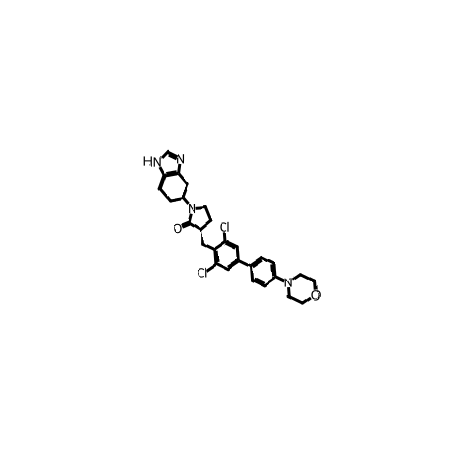 O=C1[C@H](Cc2c(Cl)cc(-c3ccc(N4CCOCC4)cc3)cc2Cl)CCN1C1CCc2[nH]cnc2C1